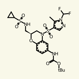 Cc1c(S(=O)(=O)N2C[C@H](CNS(=O)(=O)C3CC3)Oc3ccc(NC(=O)OC(C)(C)C)cc32)cnn1C(F)F